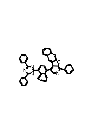 c1ccc(-c2nc(-c3ccccc3)nc(-c3ccc(-c4cnc(-c5ccccc5)c5oc6cc7ccccc7cc6c45)c4ccccc34)n2)cc1